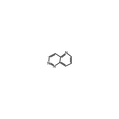 [c]1cc2ncccc2nn1